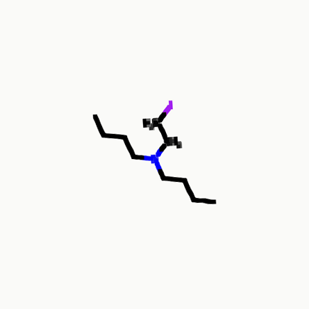 CCCCN(CCCC)[SiH2][SiH2]I